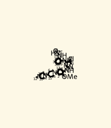 COc1cc(N2CCC(N3CCN(C)CC3)CC2)ccc1Nc1ncc(Cl)c(Nc2ccccc2N[SH](C)(C)=O)n1